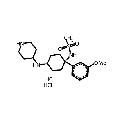 COc1cccc([C@]2(NS(C)(=O)=O)CC[C@@H](NC3CCNCC3)CC2)c1.Cl.Cl